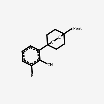 CCCCCC12CCC(c3cccc(F)c3C#N)(CC1)CC2